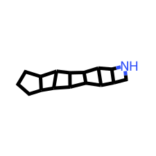 C1CC2C(C1)C1C2C2C1C1C3C4NCC4C3C21